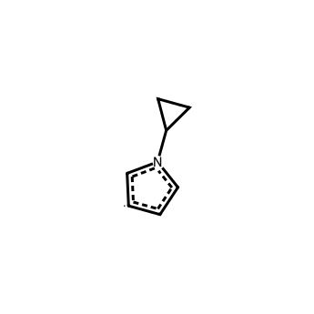 [c]1ccn(C2CC2)c1